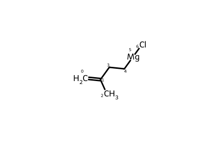 C=C(C)C[CH2][Mg][Cl]